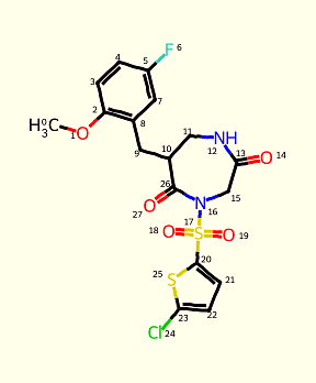 COc1ccc(F)cc1CC1CNC(=O)CN(S(=O)(=O)c2ccc(Cl)s2)C1=O